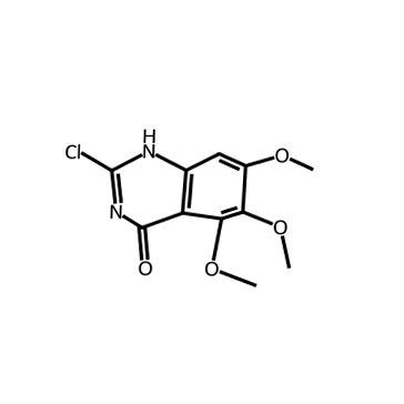 COc1cc2[nH]c(Cl)nc(=O)c2c(OC)c1OC